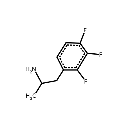 CC(N)Cc1ccc(F)c(F)c1F